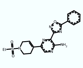 CCS(=O)(=O)N1CC=C(c2cnc(N)c(-c3noc(-c4ccccc4)n3)n2)CC1